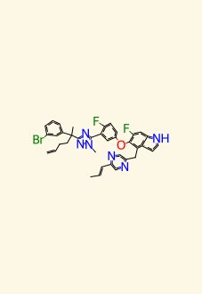 C=CCCC(C)(c1cccc(Br)c1)c1nc(-c2cc(Oc3c(F)cc4[nH]ccc4c3Cc3cnc(/C=C/C)cn3)ccc2F)n(C)n1